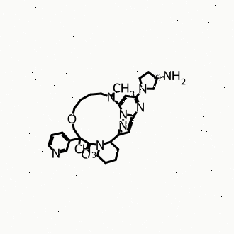 CN1CCCCOCC(C)(c2cccnc2)C(=O)N2CCCCC2c2cc3nc(N4CC[C@H](N)C4)cc1n3n2